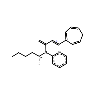 C=C(/C=C/C1=CC=CCC=C1)N(c1ccccn1)[C@H](C)CCCC